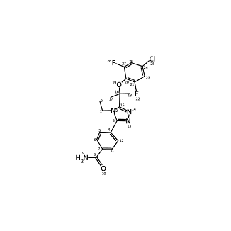 CCn1c(-c2ccc(C(N)=O)cc2)nnc1C(C)(C)Oc1c(F)cc(Cl)cc1F